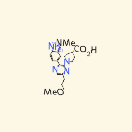 CN/C=C1/C=C(c2ncc(CCCOC)nc2N2CCC(C(=O)O)CC2)C=CC1=N